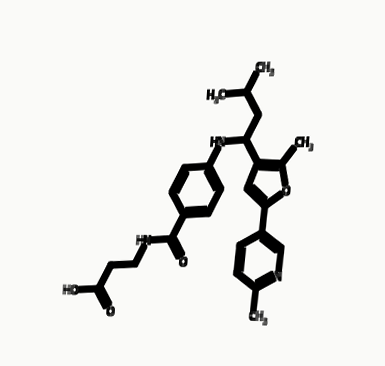 Cc1ccc(-c2cc(C(CC(C)C)Nc3ccc(C(=O)NCCC(=O)O)cc3)c(C)o2)cn1